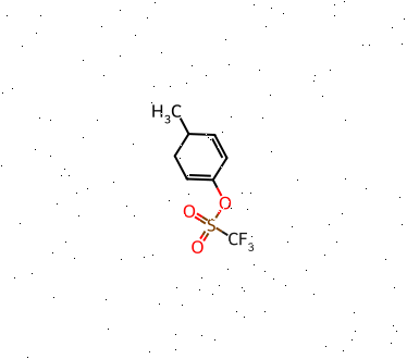 CC1C=CC(OS(=O)(=O)C(F)(F)F)=CC1